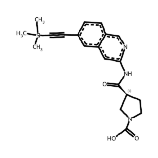 C[Si](C)(C)C#Cc1ccc2cnc(NC(=O)[C@H]3CCN(C(=O)O)C3)cc2c1